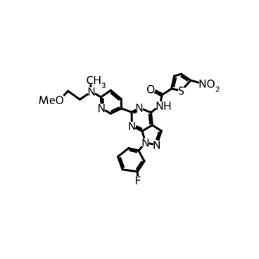 COCCN(C)c1ccc(-c2nc(NC(=O)c3ccc([N+](=O)[O-])s3)c3cnn(-c4cccc(F)c4)c3n2)cn1